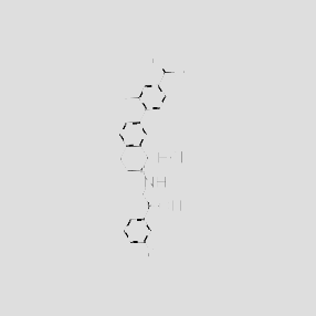 Cc1cc(C(=O)O)ccc1-c1ccc2c(c1)C[C@@H](NC[C@H](O)c1cccc(Cl)c1)CC2.Cl